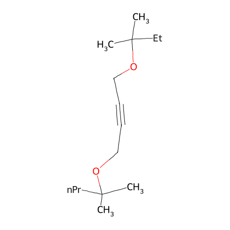 CCCC(C)(C)OCC#CCOC(C)(C)CC